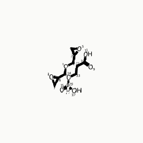 C(OCC1CO1)C1CO1.O=C(O)CCO[PH](=O)O